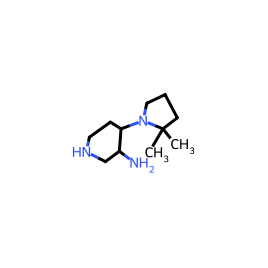 CC1(C)CCCN1C1CCNCC1N